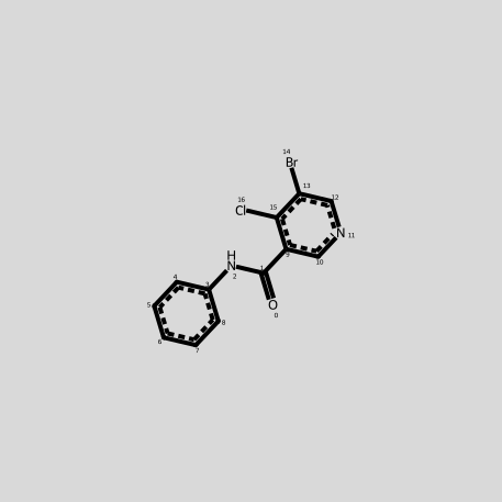 O=C(Nc1ccccc1)c1cncc(Br)c1Cl